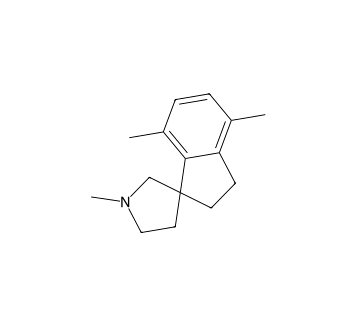 Cc1ccc(C)c2c1CCC21CCN(C)C1